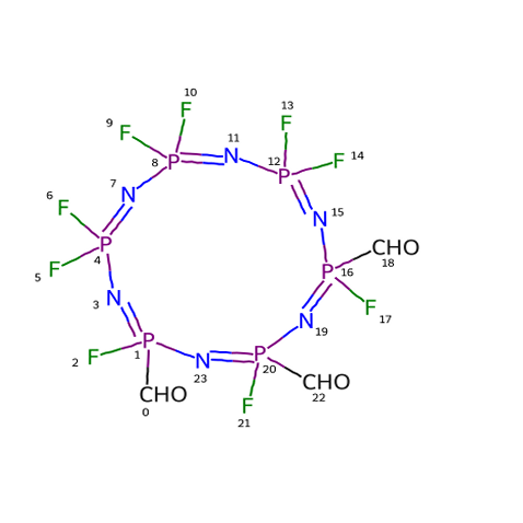 O=CP1(F)=NP(F)(F)=NP(F)(F)=NP(F)(F)=NP(F)(C=O)=NP(F)(C=O)=N1